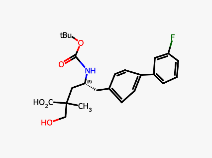 CC(C)(C)OC(=O)N[C@H](Cc1ccc(-c2cccc(F)c2)cc1)CC(C)(CO)C(=O)O